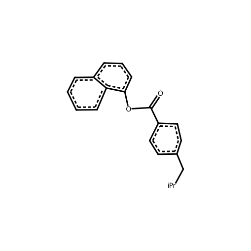 CC(C)Cc1ccc(C(=O)Oc2cccc3ccccc23)cc1